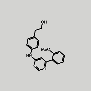 COc1ccccc1-c1cc(Nc2ccc(CCO)cc2)ncn1